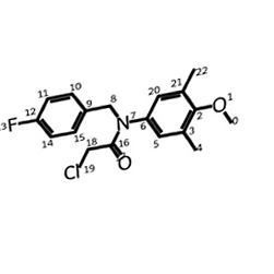 COc1c(C)cc(N(Cc2ccc(F)cc2)C(=O)CCl)cc1C